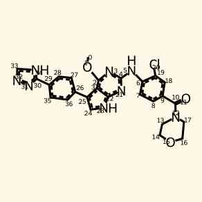 COc1nc(Nc2ccc(C(=O)N3CCOCC3)cc2Cl)nc2[nH]cc(-c3ccc(-c4nnc[nH]4)cc3)c12